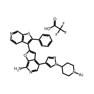 CC(=O)N1CCC(n2cc(-c3cnc(N)c4oc(-c5c(-c6ccccc6)sc6cnccc56)cc34)cn2)CC1.O=C(O)C(F)(F)F